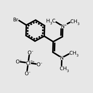 CN(C)C=C(C=[N+](C)C)c1ccc(Br)cc1.[O-][Cl+3]([O-])([O-])[O-]